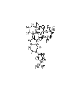 O=C(N[C@H]1[C@H](N2Cc3ncc(-c4nnc(C(F)F)o4)cc3C2=O)CCCC1(F)F)C(C(F)(F)F)C(F)(F)F